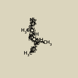 CC#CC(=O)Nc1cc2c(Nc3ccc(Oc4ccn5ccnc5c4)c(C)c3)ncnc2cc1OCCN1CCN(C)CC1